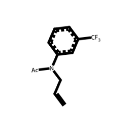 C=CCN(C(C)=O)c1cccc(C(F)(F)F)c1